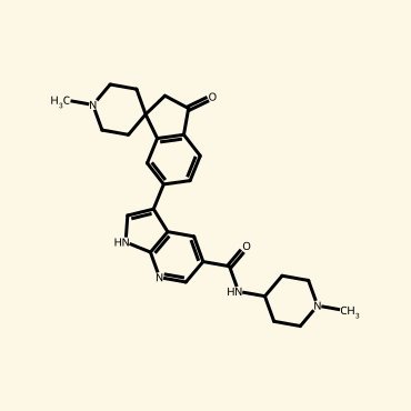 CN1CCC(NC(=O)c2cnc3[nH]cc(-c4ccc5c(c4)C4(CCN(C)CC4)CC5=O)c3c2)CC1